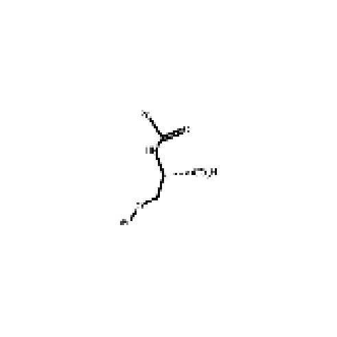 CC(C)OC[C@H](NC(=O)C(C)C)C(=O)O